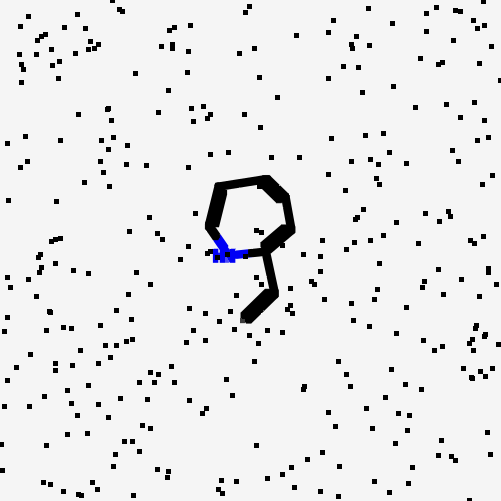 [CH]=CC1=CC=CC=CN1